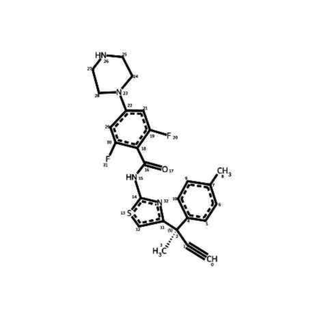 C#C[C@](C)(c1ccc(C)cc1)c1csc(NC(=O)c2c(F)cc(N3CCNCC3)cc2F)n1